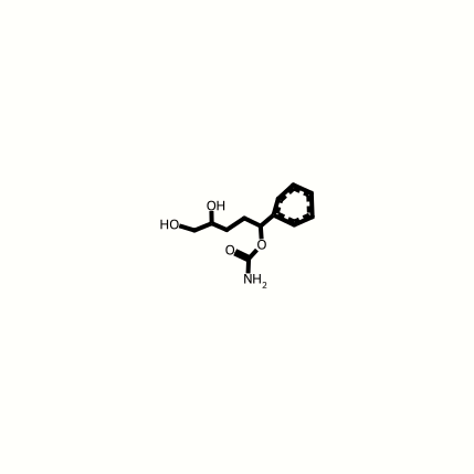 NC(=O)OC(CCC(O)CO)c1ccccc1